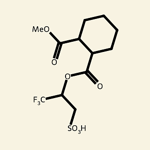 COC(=O)C1CCCCC1C(=O)OC(CS(=O)(=O)O)C(F)(F)F